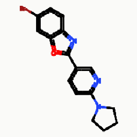 Brc1ccc2nc(-c3ccc(N4CCCC4)nc3)oc2c1